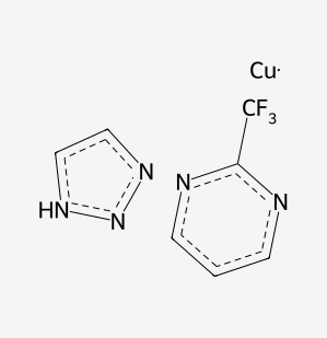 FC(F)(F)c1ncccn1.[Cu].c1c[nH]nn1